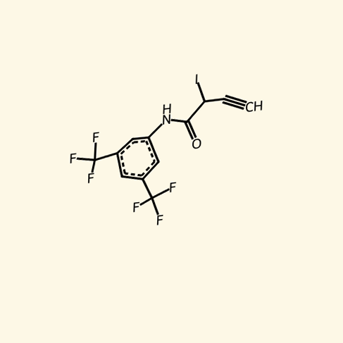 C#CC(I)C(=O)Nc1cc(C(F)(F)F)cc(C(F)(F)F)c1